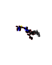 CC1(C)c2cccc3c4cc(-c5cccc(-c6cccc(-c7ccccc7)c6)c5)cc(-c5cc6c7ccccc7n(-c7ccccc7)c6c6c5c5ccccc5n6-c5nc(-c6ccccc6)nc(-c6ccc(-c7ccc8c(c7)sc7c9ccccc9c9c(c%10ccccc%10n9-c9nc(-c%10ccccc%10)c%10ccccc%10n9)c87)cc6)n5)c4c4cccc1c4c23